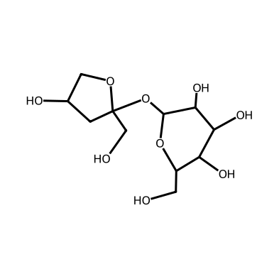 OCC1OC(OC2(CO)CC(O)CO2)C(O)C(O)C1O